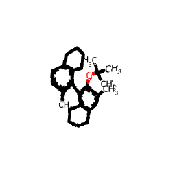 Cc1cc2c(c(-c3c(C)ccc4c3CCCC4)c1OC(C)(C)C)CCCC2